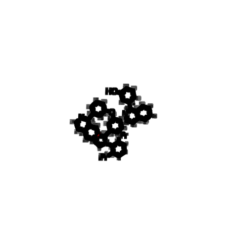 CC(C)c1cccc(C(C)C)c1-n1ccnc1-c1cccc(Oc2cccc(-c3nccc4ccccc34)c2)c1.Oc1cccc(-c2nccc3ccccc23)c1